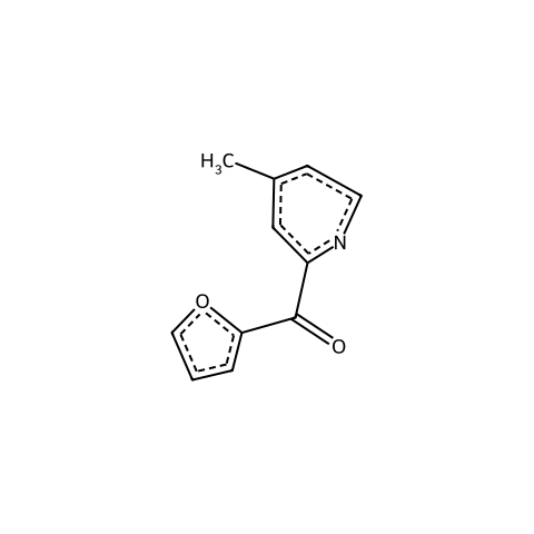 Cc1ccnc(C(=O)c2ccco2)c1